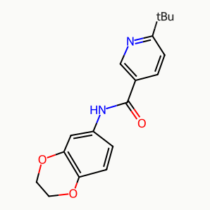 CC(C)(C)c1ccc(C(=O)Nc2ccc3c(c2)OCCO3)cn1